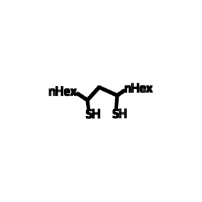 CCCCCCC(S)CC(S)CCCCCC